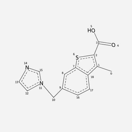 Cc1c(C(=O)O)sc2cc(Cn3ccnc3)ccc12